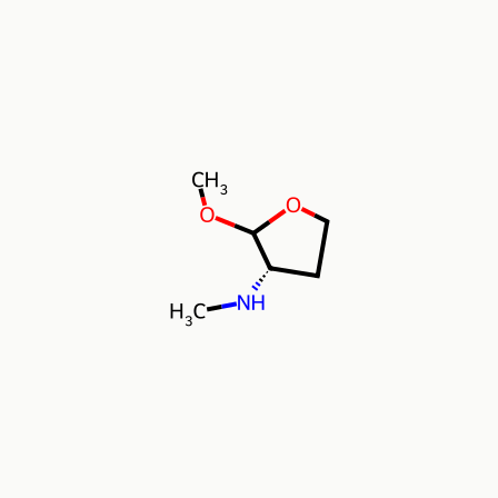 CN[C@H]1CCOC1OC